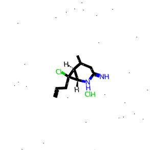 C=CCC1(Cl)[C@H]2NC(=N)CC(C)[C@@H]21.Cl